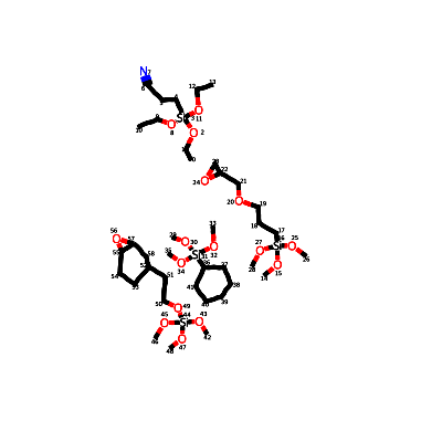 CCO[Si](CCC#N)(OCC)OCC.CO[Si](CCCOCC1CO1)(OC)OC.CO[Si](OC)(OC)C1CCCCC1.CO[Si](OC)(OC)OCCC1CCC2OC2C1